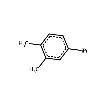 Cc1[c]cc(C(C)C)cc1C